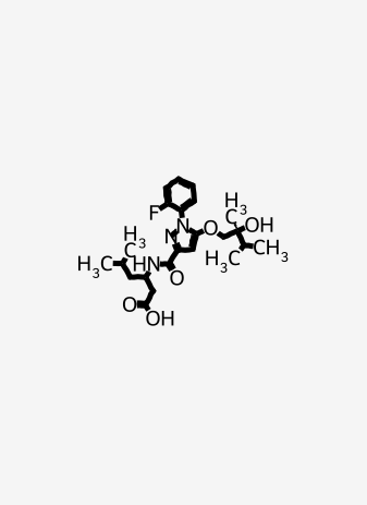 CC(C)CC(CC(=O)O)NC(=O)c1cc(OC[C@@](C)(O)C(C)C)n(-c2ccccc2F)n1